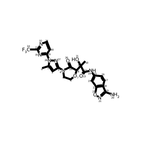 Cc1cc(N2CCOC(C(C)(O)C(=O)Nc3ccc4c(N)noc4c3)C2=O)nn1-c1ccnc(C(F)(F)F)n1